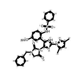 COc1ccc(NS(=O)(=O)c2ccccc2)c(-c2[nH]c(-n3nc(C)cc3C)nc2N2C(=O)CN(Cc3ccccc3)C2=O)c1